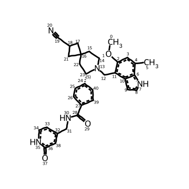 COc1cc(C)c2[nH]ccc2c1CN1CCC2(CC(C#N)C2)C[C@H]1c1ccc(C(=O)NCc2cc[nH]c(=O)c2)cc1